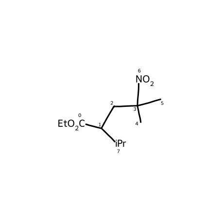 CCOC(=O)C(CC(C)(C)[N+](=O)[O-])C(C)C